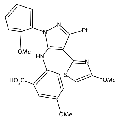 CCc1nn(-c2ccccc2OC)c(Nc2ccc(OC)cc2C(=O)O)c1-c1nc(OC)cs1